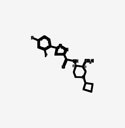 O=C(N[C@H]1CCN(C2CCC2)C[C@@H]1C(=O)O)c1cc(-c2ccc(F)cc2F)on1